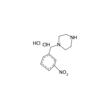 Cl.Cl.O=[N+]([O-])c1cccc(CN2CCNCC2)c1